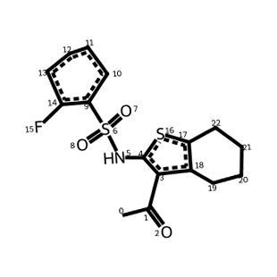 CC(=O)c1c(NS(=O)(=O)c2ccccc2F)sc2c1CCCC2